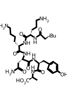 CC[C@H](C)CC(=O)N[C@@H](CCCN)C(=O)N[C@@H](CCCCN)C(=O)N[C@@H](CC(N)=O)C(=O)N[C@@H](Cc1ccc(O)cc1)C(=O)N[C@@H](C)C(=O)O